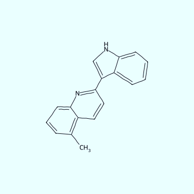 Cc1cccc2nc(-c3c[nH]c4ccccc34)ccc12